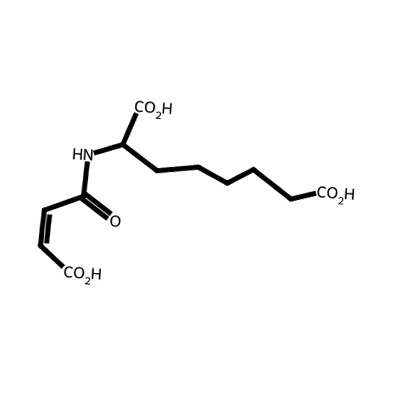 O=C(O)/C=C\C(=O)NC(CCCCCC(=O)O)C(=O)O